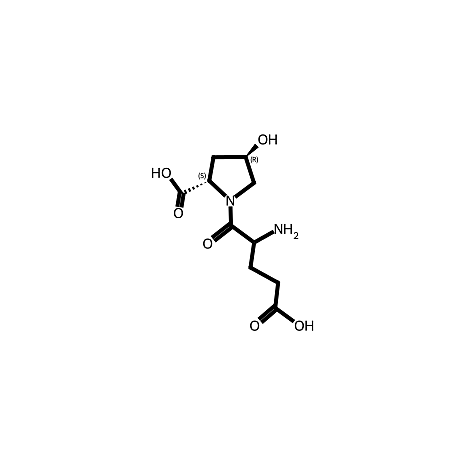 NC(CCC(=O)O)C(=O)N1C[C@H](O)C[C@H]1C(=O)O